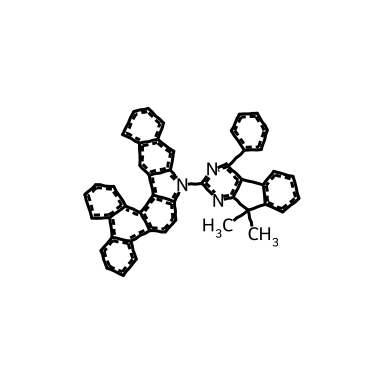 CC1(C)c2ccccc2-c2c(-c3ccccc3)nc(-n3c4cc5ccccc5cc4c4c5c6ccccc6c6ccccc6c5ccc43)nc21